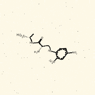 C[C@H](NC(=O)[C@@H](N)CNc1ccc([N+](=O)[O-])cc1[N+](=O)[O-])C(=O)O